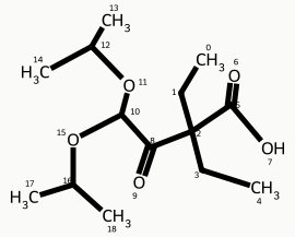 CCC(CC)(C(=O)O)C(=O)C(OC(C)C)OC(C)C